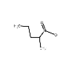 [CH2]CCC([CH2])[N+](=O)[O-]